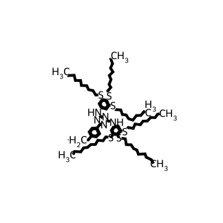 [CH2]Cc1ccc(-c2nc(Nc3cc(SCCCCCCCCCC)c(SCCCCCCCCCC)c(SCCCCCCCCCC)c3)nc(Nc3cc(SCCCCCCCCCC)c(SCCCCCCCCCC)c(SCCCCCCCCCC)c3)n2)cc1